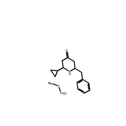 CC(C)(C)OC=O.O=C1CC(Cc2ccccc2)NC(C2CC2)C1